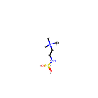 CC[N+](C)(C)CCN[SH](=O)=O